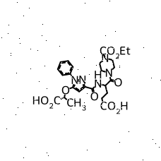 CCOC(=O)N1CCN(C(=O)C(CCC(=O)O)NC(=O)c2cc(O[C@@H](C)C(=O)O)n(-c3ccccc3)n2)CC1